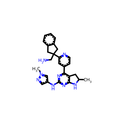 CC1Cc2c(nc(Nc3cnn(C)c3)nc2-c2ccnc(C3(CN)Cc4ccccc4C3)c2)N1